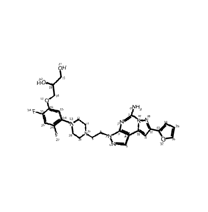 Nc1nc2c(cnn2CCN2CCN(c3cc(OCC(O)CO)c(F)cc3F)CC2)c2cc(-c3ccco3)nn12